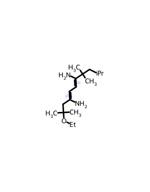 CCOC(C)(C)C/C(N)=C/C=C(\N)C(C)(C)CC(C)C